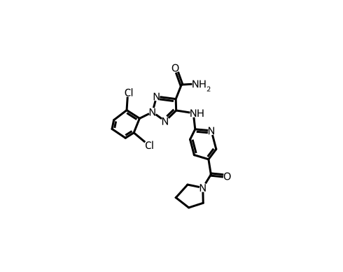 NC(=O)c1nn(-c2c(Cl)cccc2Cl)nc1Nc1ccc(C(=O)N2CCCC2)cn1